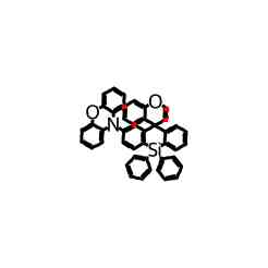 c1ccc([Si]2(c3ccccc3)c3ccccc3C3(c4ccccc4Oc4ccccc43)c3cc(N4c5ccccc5Oc5ccccc54)ccc32)cc1